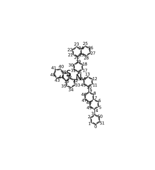 c1ccc(-c2ccc3cc(-c4cccc(N(c5ccc(-c6cccc7ccccc67)cc5)c5cccc6c5sc5ccccc56)c4)ccc3c2)cc1